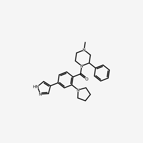 CN1CCN(C(=O)c2ccc(-c3cn[nH]c3)cc2N2CCCC2)C(c2ccccc2)C1